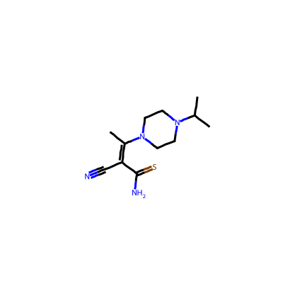 CC(=C(C#N)C(N)=S)N1CCN(C(C)C)CC1